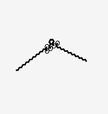 CCCCCCCCCCCCCCCCCC(=O)OC(=O)c1ccccc1OC(=O)CCCCCCCCCCCCCCCCC